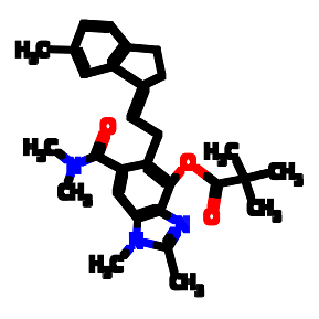 Cc1ccc2c(c1)C(=CCc1c(C(=O)N(C)C)cc3c(nc(C)n3C)c1OC(=O)C(C)(C)C)CC2